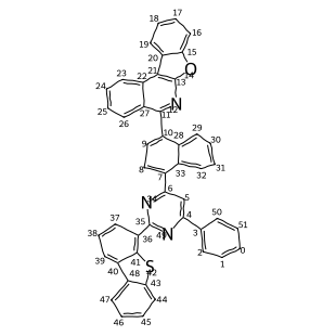 c1ccc(-c2cc(-c3ccc(-c4nc5oc6ccccc6c5c5ccccc45)c4ccccc34)nc(-c3cccc4c3sc3ccccc34)n2)cc1